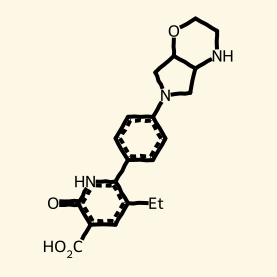 CCc1cc(C(=O)O)c(=O)[nH]c1-c1ccc(N2CC3NCCOC3C2)cc1